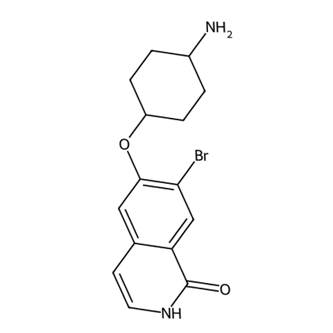 NC1CCC(Oc2cc3cc[nH]c(=O)c3cc2Br)CC1